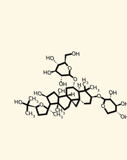 CC(C)(O)[C@@H]1CC[C@](C)(C2[C@@H](O)C[C@@]3(C)[C@@H]4C[C@H](OC5O[C@H](CO)[C@@H](O)[C@H](O)[C@H]5O)[C@H]5C(C)(C)[C@@H](OC6OC[C@@H](O)[C@H](O)[C@H]6O)CC[C@@]56C[C@@]46CC[C@]23C)O1